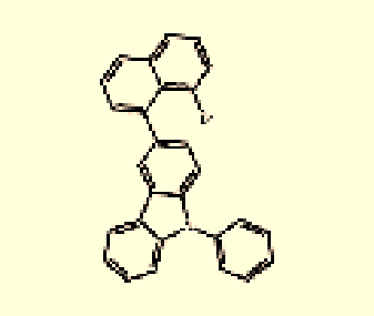 Brc1cccc2cccc(-c3ccc4c(c3)c3ccccc3n4-c3ccccc3)c12